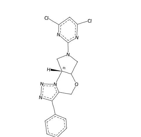 Clc1cc(Cl)nc(N2CC3OCc4c(-c5ccccc5)nnn4[C@@H]3C2)n1